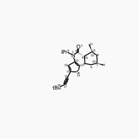 CC(C)N(C(=O)[C@H]1CC[C@H](C)C[C@@H]1C)c1csc(C#CC(C)(C)C)c1